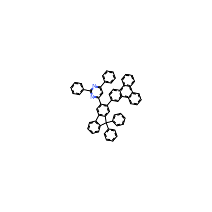 c1ccc(-c2cc(-c3cc4c(cc3-c3ccc5c6ccccc6c6ccccc6c5c3)C(c3ccccc3)(c3ccccc3)c3ccccc3-4)nc(-c3ccccc3)n2)cc1